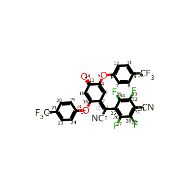 N#C/C(=C1/C=C(Oc2ccc(C(F)(F)F)cc2)C(=O)C=C1Oc1ccc(C(F)(F)F)cc1)c1c(F)c(F)c(C#N)c(F)c1F